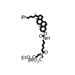 CCOC(=O)CCN(CC(=O)OCC)C(=O)CCCCCNC(=O)O[C@H]1CC[C@@]2(C)C(=CCC3C4CCC([C@@H](C)CCCC(C)C)[C@@]4(C)CCC32)C1